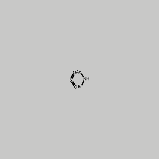 CC(=O)NBr.O=S=O